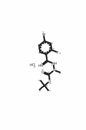 CN(NC(=N)c1ccc(Br)cc1F)C(=O)OC(C)(C)C.Cl